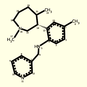 Cc1ccc(NCc2cccnc2)c([C@@H]2CN(C)CCCC2C)c1